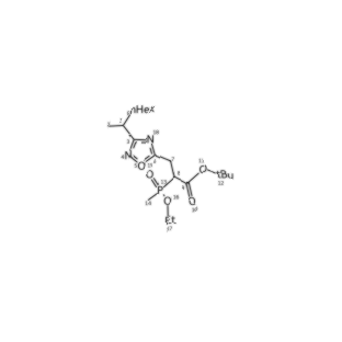 CCCCCCC(C)c1noc(CC(C(=O)OC(C)(C)C)P(C)(=O)OCC)n1